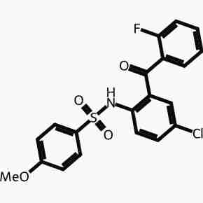 COc1ccc(S(=O)(=O)Nc2ccc(Cl)cc2C(=O)c2ccccc2F)cc1